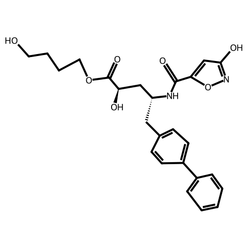 O=C(N[C@H](Cc1ccc(-c2ccccc2)cc1)C[C@@H](O)C(=O)OCCCCO)c1cc(O)no1